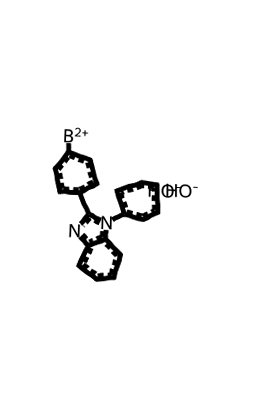 [B+2]c1ccc(-c2nc3ccccc3n2-c2ccccc2)cc1.[OH-].[OH-]